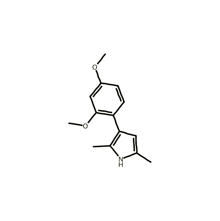 COc1ccc(-c2cc(C)[nH]c2C)c(OC)c1